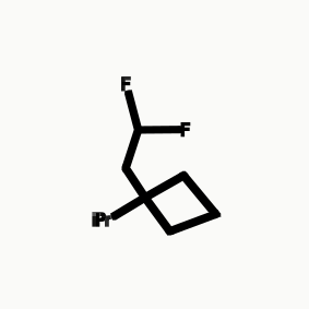 CC(C)C1(CC(F)F)CCC1